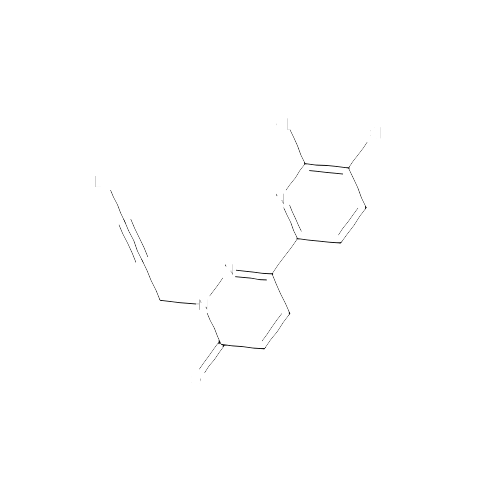 CCC#CCn1nc(-c2ccc(Cl)c(Cl)n2)ccc1=O